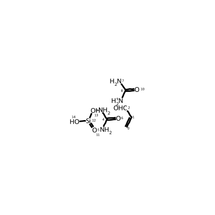 C=CC=O.NC(N)=O.NC(N)=O.O=[Si](O)O